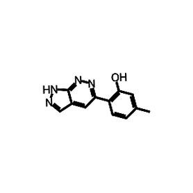 Cc1ccc(-c2cc3cn[nH]c3nn2)c(O)c1